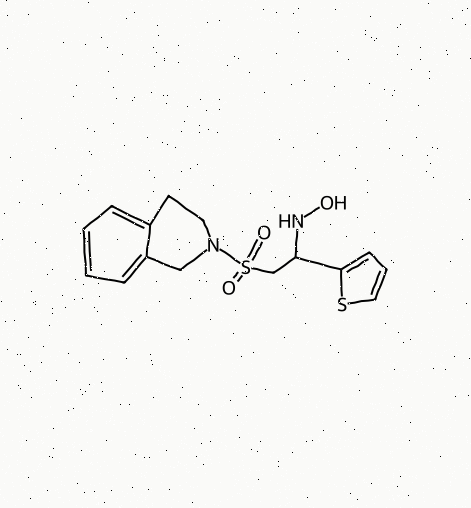 O=S(=O)(CC(NO)c1cccs1)N1CCc2ccccc2C1